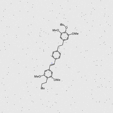 CCC(C)CCc1c(OC)cc(/C=C/c2ccc(CCc3cc(OC)c(OC(C)CC)c(OC)c3)cc2)cc1OC